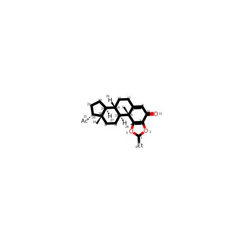 CCC1OC2=C(O1)[C@@]1(C)C(=CC2=O)CC[C@@H]2[C@@H]1CC[C@]1(C)[C@H](C(C)=O)CC[C@@H]21